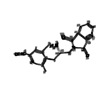 Cc1cc([C]=O)cc(C)c1C[C@H](N)CN1C(=O)c2ccccc2C1=O